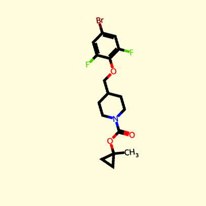 CC1(OC(=O)N2CCC(COc3c(F)cc(Br)cc3F)CC2)CC1